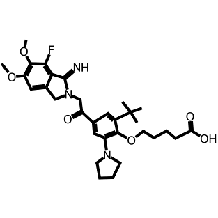 COc1cc2c(c(F)c1OC)C(=N)N(CC(=O)c1cc(N3CCCC3)c(OCCCCC(=O)O)c(C(C)(C)C)c1)C2